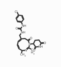 C/C1=N/C(C)/C=C\C=C(\CNC(=O)Nc2ccc(Cl)cc2)CC(=O)N1C1CCC(=O)NC1=O